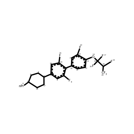 CCCC1CCC(c2cc(F)c(-c3ccc(OC(F)(F)C(F)C(F)(F)F)c(F)c3)c(F)c2)CC1